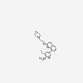 CCc1cc(-c2cccc3ccc(OCCN4CCOCC4)nc23)cnc1N